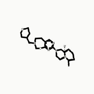 CC1CCC[C@@H]2CN(c3ncc4c(n3)CCN(CC3CCOCC3)CC4)CCN12